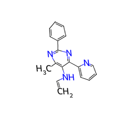 C=CNc1c(C)nc(-c2ccccc2)nc1-c1ccccn1